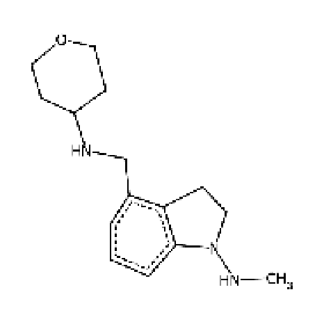 CNN1CCc2c(CNC3CCOCC3)cccc21